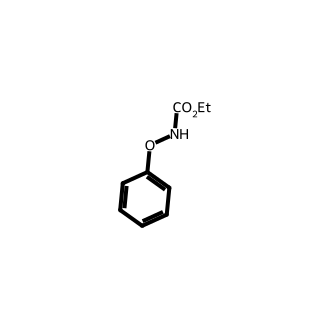 CCOC(=O)NOc1ccccc1